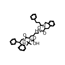 CC(C)(C)N(C(=O)O)C(CCCCNC(=O)C1Cc2ccccc2CN1C(=O)CCc1ccccc1)C(=O)NCC(c1ccccc1)c1ccccc1